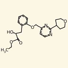 CCOC(=O)[C@@H](O)Cc1ccccc1OCc1ccnc(C2CCOCC2)n1